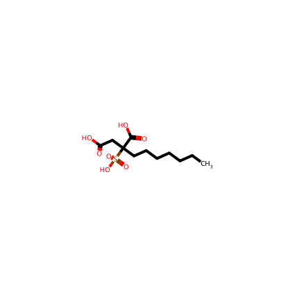 CCCCCCCC(CC(=O)O)(C(=O)O)S(=O)(=O)O